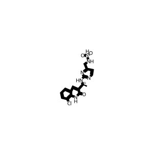 C[C@H](Nc1nccc(CN[SH](=O)=O)n1)c1cc2cccc(Cl)c2[nH]c1=O